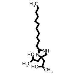 CCCCCCCCCCCC1=NC(CC(C)O)(CC(C)O)CN1